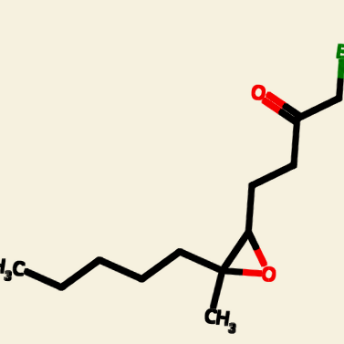 CCCCCC1(C)OC1CCC(=O)CBr